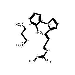 NN=C(N)N=CC=Cc1cccn1-c1ccccc1[N+](=O)[O-].O=C(O)CCCC(=O)O